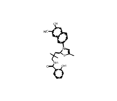 CC1=CN(c2ccc3cc(C#N)c(C#N)cc3c2)C(=CC(C)(C)CNC(=O)c2ccccc2O)S1